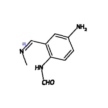 C/N=C\c1cc(N)ccc1NC=O